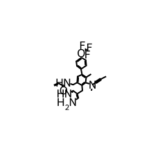 C=CC(=O)NCc1cc(-c2ccc(OC(F)(F)F)cc2)c(C)c(N(C)C#CC)c1C/C(C=N)=C/N